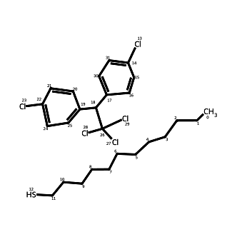 CCCCCCCCCCCCS.Clc1ccc(C(c2ccc(Cl)cc2)C(Cl)(Cl)Cl)cc1